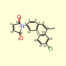 CC(=Cc1ccc(N2C(=O)C=CC2=O)cc1)c1cccc(Cl)c1